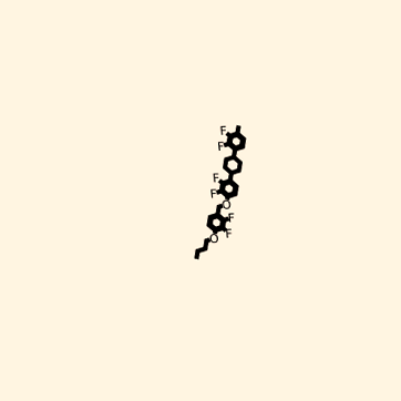 CCCCOc1ccc(COc2ccc(C3CCC(c4ccc(C)c(F)c4F)CC3)c(F)c2F)c(F)c1F